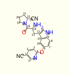 N#Cc1ccc(Oc2ccc3[nH]cc(CC(N)C(=O)N4CCCC4C#N)c3c2)nc1